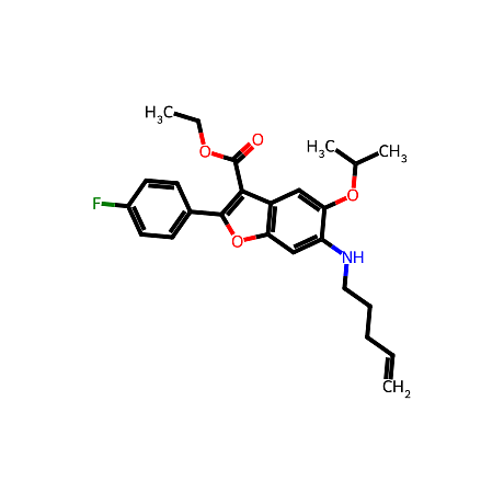 C=CCCCNc1cc2oc(-c3ccc(F)cc3)c(C(=O)OCC)c2cc1OC(C)C